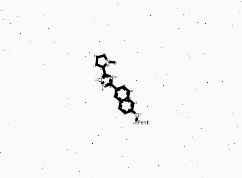 CCCCCOc1ccc2cc(-c3noc(C4CCCN4C)n3)ccc2c1